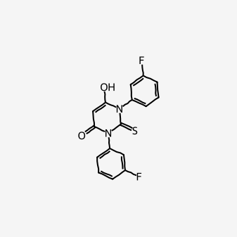 O=c1cc(O)n(-c2cccc(F)c2)c(=S)n1-c1cccc(F)c1